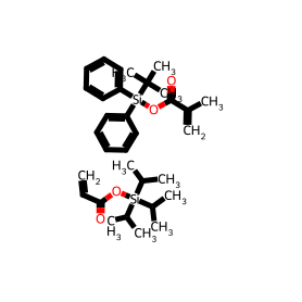 C=C(C)C(=O)O[Si](c1ccccc1)(c1ccccc1)C(C)(C)C.C=CC(=O)O[Si](C(C)C)(C(C)C)C(C)C